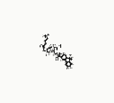 CN(C)CCCC1OC1C[C@@]1(C)C[C@@H](C(=O)O)N(C(=O)CNC(=O)C2=CCC3C(=C2)c2ccccc2C3(F)I)C1